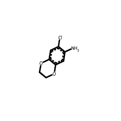 Nc1cc2c(cc1Cl)OCCO2